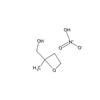 CC1(CO)CCO1.O=[N+]([O-])O